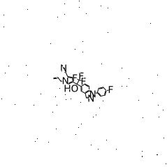 C=CCn1cc(C(O)(c2ccc3c(cnn3-c3ccc(F)cc3)c2)C(F)(F)F)cc1C#N